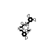 COc1cc(C=NNC(=O)c2cncc(-c3ccc(OC)cc3OC(F)(F)F)n2)cc(OC)c1